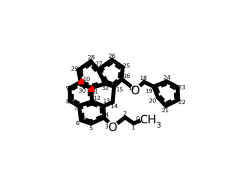 CCCOc1ccc2ccccc2c1Cc1c(OCc2ccccc2)ccc2ccccc12